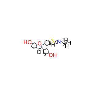 [2H]C([2H])([2H])CCN1CC([2H])(Sc2ccc(C3Oc4cc(O)ccc4C(C)=C3c3ccc(O)cc3)cc2)C1